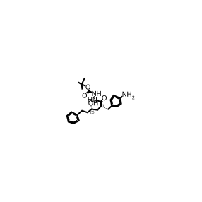 CC(C)(C)OC(=O)NNC(=O)[C@H](Cc1ccc(N)cc1)C[C@@H](O)CCc1ccccc1